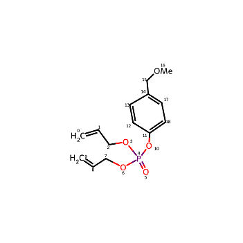 C=CCOP(=O)(OCC=C)Oc1ccc(COC)cc1